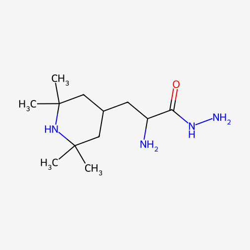 CC1(C)CC(CC(N)C(=O)NN)CC(C)(C)N1